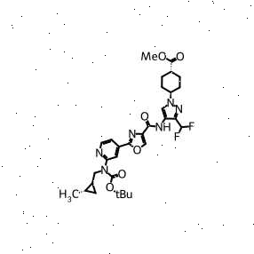 COC(=O)[C@H]1CC[C@H](n2cc(NC(=O)c3coc(-c4ccnc(N(CC5C[C@@H]5C)C(=O)OC(C)(C)C)c4)n3)c(C(F)F)n2)CC1